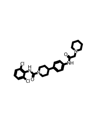 O=C(CN1CCCCC1)Nc1ccc(C2CCN(C(=O)Nc3c(Cl)cccc3Cl)CC2)cc1